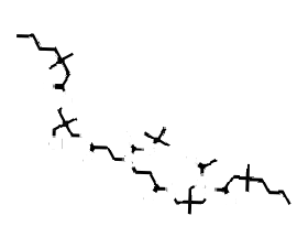 CCCCC(C)(C)CC(=O)OCC(C)(CO)COC(=O)CCN(CCC(=O)OCC(C)(COC(C)=O)COC(=O)CC(C)(C)CCCC)C(=O)OC(C)(C)C